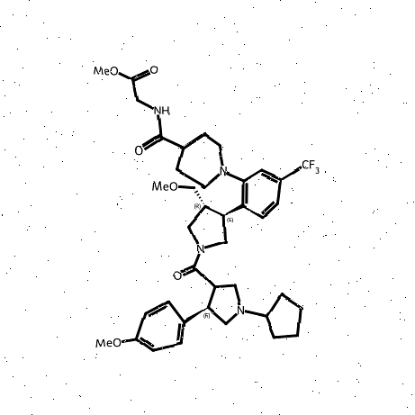 COC[C@H]1CN(C(=O)C2CN(C3CCCC3)C[C@H]2c2ccc(OC)cc2)C[C@@H]1c1ccc(C(F)(F)F)cc1N1CCC(C(=O)NCC(=O)OC)CC1